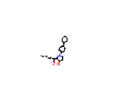 CN/C=C/C(=O)c1nn(-c2ccc(C3CCCCC3)cc2)ccc1=O